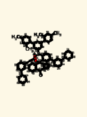 Cc1ccc(-c2cc(-c3ccc(C)cc3C)cc(N3c4ccc(-c5cccc(-c6ccccc6)c5)cc4C4(c5ccccc5C(=O)c5ccccc54)c4cc(-c5cccc(-c6ccccc6)c5)ccc43)c2)c(C)c1